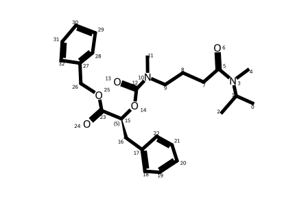 CC(C)N(C)C(=O)CCCN(C)C(=O)O[C@@H](Cc1ccccc1)C(=O)OCc1ccccc1